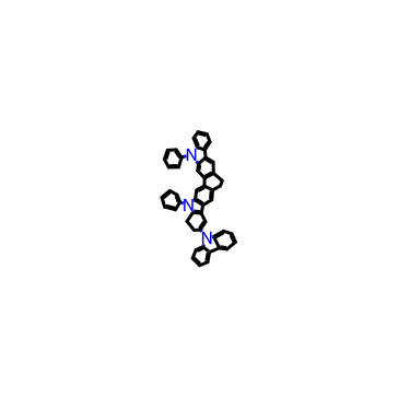 C1=C(n2c3ccccc3c3ccccc32)CCc2c1c1cc3c(cc1n2-c1ccccc1)-c1cc2c(cc1CC3)c1ccccc1n2-c1ccccc1